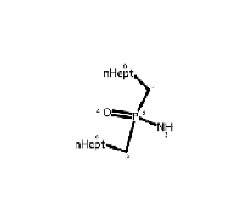 CCCCCCCCP([NH])(=O)CCCCCCCC